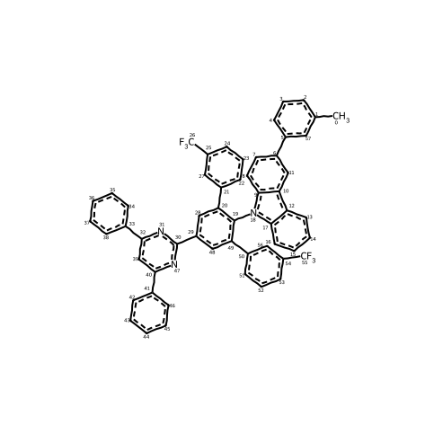 Cc1cccc(-c2ccc3c(c2)c2ccccc2n3-c2c(-c3cccc(C(F)(F)F)c3)cc(-c3nc(-c4ccccc4)cc(-c4ccccc4)n3)cc2-c2cccc(C(F)(F)F)c2)c1